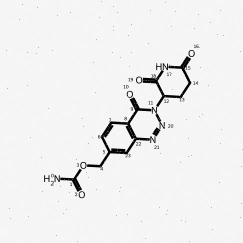 NC(=O)OCc1ccc2c(=O)n(C3CCC(=O)NC3=O)nnc2c1